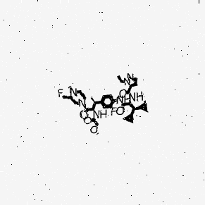 CCn1nccc1C(=O)N[C@H](C(=O)Nc1ccc([C@H](C)[C@@H](NC(=O)COC)C(=O)N2CCN(C)C(CF)C2)cc1F)C(C1CC1)C1CC1